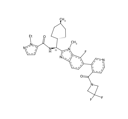 CCn1nccc1C(=O)N[C@H](c1nc2ccc(-c3cnccc3C(=O)N3CC(F)(F)C3)c(F)c2n1C)[C@H]1CC[C@H](C)CC1